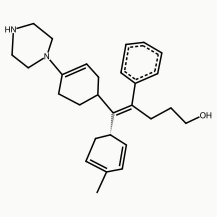 CC1=CC[C@H](/C(=C(\CCCO)c2ccccc2)C2CC=C(N3CCNCC3)CC2)C=C1